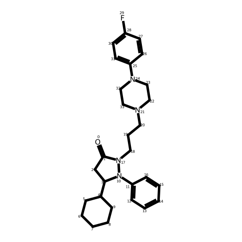 O=C1CC(C2CCCCC2)N(c2ccccc2)N1CCCN1CCN(c2ccc(F)cc2)CC1